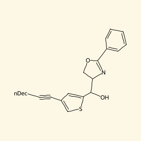 CCCCCCCCCCC#Cc1csc(C(O)C2COC(c3ccccc3)=N2)c1